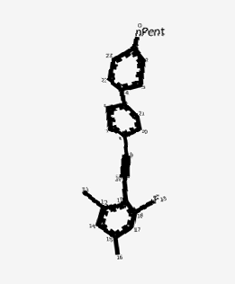 CCCCCc1ccc(-c2ccc(C#Cc3c(C)cc(C)cc3F)cc2)cc1